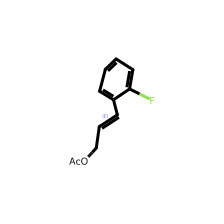 CC(=O)OC/C=C/c1ccccc1F